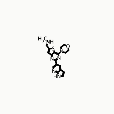 CNCc1cc2nc(-c3cnc4[nH]ccc4c3)nc(N3CCOCC3)c2s1